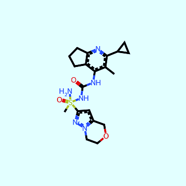 Cc1c(C2CC2)nc2c(c1NC(=O)NS(C)(N)(=O)c1cc3n(n1)CCOC3)CCC2